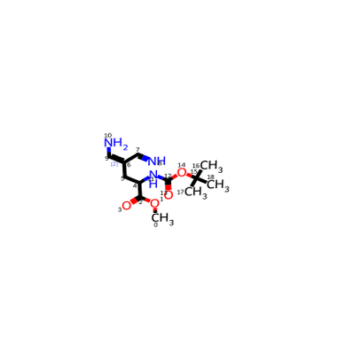 COC(=O)C(C/C(C=N)=C/N)NC(=O)OC(C)(C)C